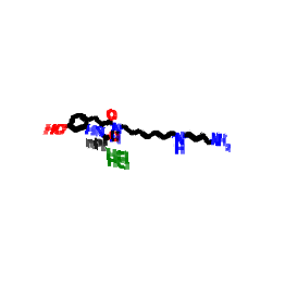 CCCC(=O)NC(Cc1ccc(O)cc1)C(=O)NCCCCCCCNCCCCN.Cl.Cl